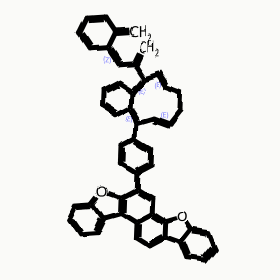 C=C(/C=c1/ccccc1=C)C1=c2\cccc\c2=C(c2ccc(-c3cc4c(ccc5c6ccccc6oc54)c4c3oc3ccccc34)cc2)\C=C\CC\C=C\1